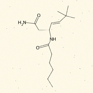 CCCCCC(=O)N[C@@H](/C=C/C(C)(C)C)CC(N)=O